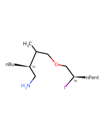 CCCCC[C@@H](I)COCC(C)[C@@H](CN)CCCC